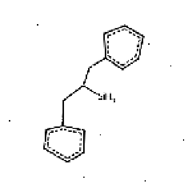 [SiH3]C(Cc1ccccc1)Cc1ccccc1